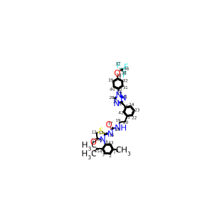 Cc1ccc(C(C)C)c(N2C(=O)CSC2=NC(=O)NCCc2cccc(-c3ncn(-c4ccc(OC(F)(F)F)cc4)n3)c2)c1